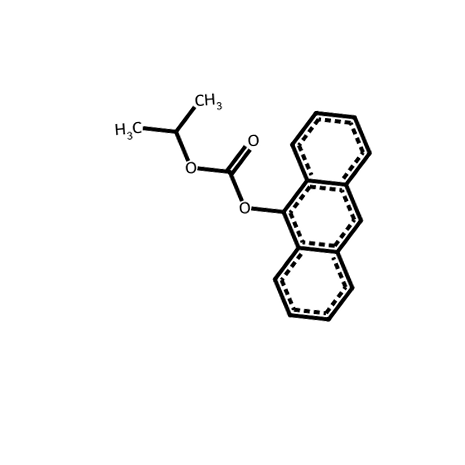 CC(C)OC(=O)Oc1c2ccccc2cc2ccccc12